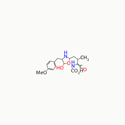 COc1ccc(CC2NC(CC(C)C(=C=O)NC(=O)O)OC2O)cc1